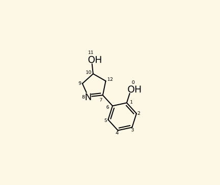 Oc1ccccc1C1=NCC(O)C1